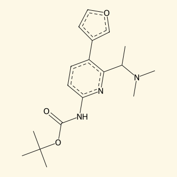 CC(c1nc(NC(=O)OC(C)(C)C)ccc1-c1ccoc1)N(C)C